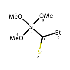 CCC([S])[Si](OC)(OC)OC